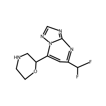 FC(F)c1cc(C2CNCCO2)n2ncnc2n1